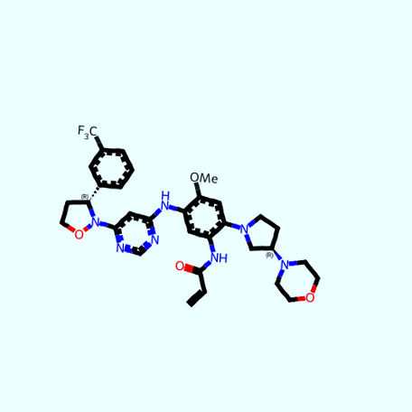 C=CC(=O)Nc1cc(Nc2cc(N3OCC[C@@H]3c3cccc(C(F)(F)F)c3)ncn2)c(OC)cc1N1CC[C@@H](N2CCOCC2)C1